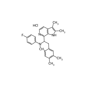 Cc1ccc(CC(c2nccc3c(C)c(C)[nH]c23)N(C)c2ccc(F)cc2)cc1C.Cl